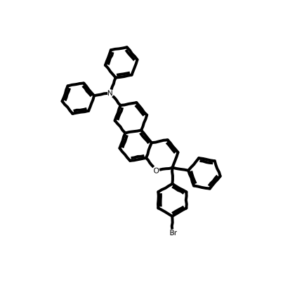 Brc1ccc(C2(c3ccccc3)C=Cc3c(ccc4cc(N(c5ccccc5)c5ccccc5)ccc34)O2)cc1